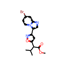 COC(=O)C(c1cc(-c2cnc3cc(Br)ccn23)no1)C(C)C